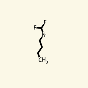 CCCC[N]C(F)F